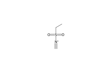 C#[N+]S(=O)(=O)CC